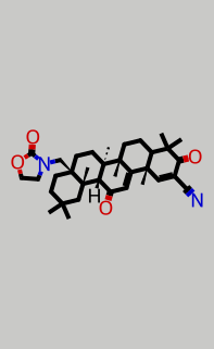 CC1(C)CC[C@]2(CN3CCOC3=O)CC[C@]3(C)[C@H](C(=O)C=C4[C@@]5(C)C=C(C#N)C(=O)C(C)(C)C5CC[C@]43C)[C@]2(C)C1